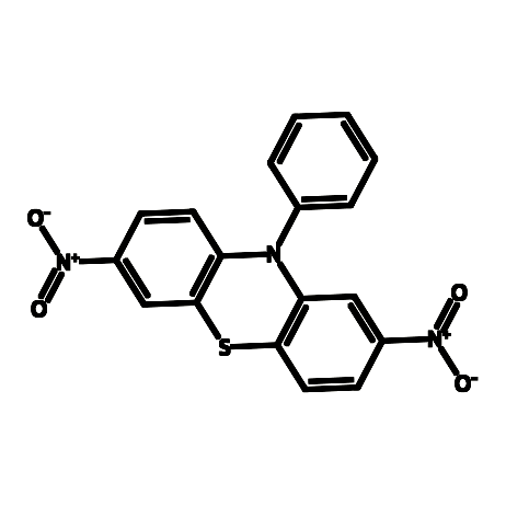 O=[N+]([O-])c1ccc2c(c1)Sc1ccc([N+](=O)[O-])cc1N2c1ccccc1